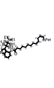 BC(B)(c1c[nH]c2cccc(OC(=O)CCCCCCC/C=C\C/C=C\CCCCC)c12)C(B)(B)N(CC)CC